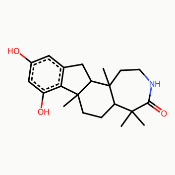 CC1(C)C(=O)NCCC2(C)C1CCC1(C)c3c(O)cc(O)cc3CC12